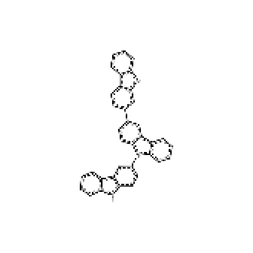 c1ccc2c(c1)[nH]c1ccc(-n3c4ccccc4c4cc(-c5ccc6c(c5)oc5ccccc56)ccc43)cc12